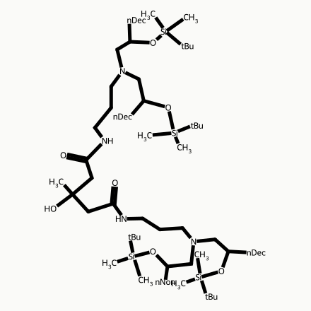 CCCCCCCCCCC(CN(CCCNC(=O)CC(C)(O)CC(=O)NCCCN(CC(CCCCCCCCCC)O[Si](C)(C)C(C)(C)C)CC(CCCCCCCCCC)O[Si](C)(C)C(C)(C)C)CC(CCCCCCCCC)O[Si](C)(C)C(C)(C)C)O[Si](C)(C)C(C)(C)C